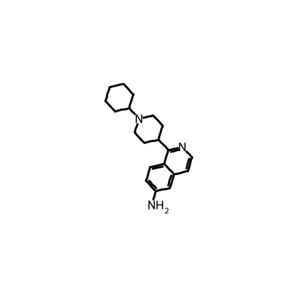 Nc1ccc2c(C3CCN(C4CCCCC4)CC3)nccc2c1